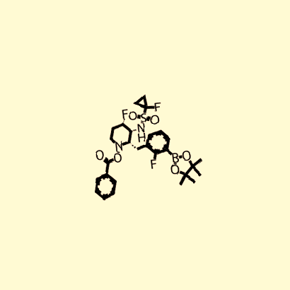 CC1(C)OB(c2cccc(C[C@H]3[C@@H](NS(=O)(=O)C4(F)CC4)[C@@H](F)CCN3OC(=O)c3ccccc3)c2F)OC1(C)C